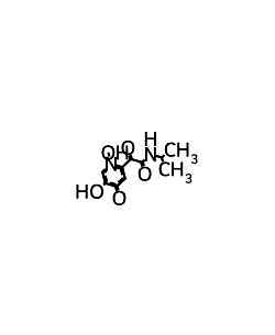 CC(C)NC(=O)C(=O)c1cc(=O)c(O)cn1O